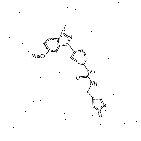 COc1ccc2c(c1)c(-c1ccc(NC(=O)NCc3cn[nH]c3)cc1)nn2C